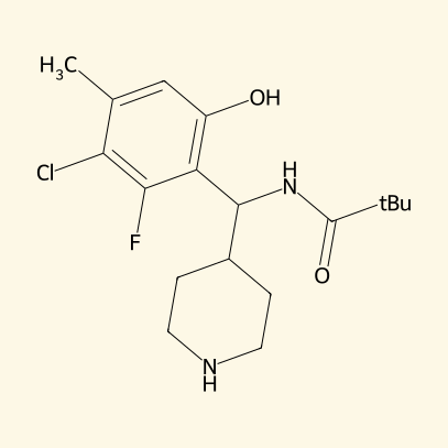 Cc1cc(O)c(C(NC(=O)C(C)(C)C)C2CCNCC2)c(F)c1Cl